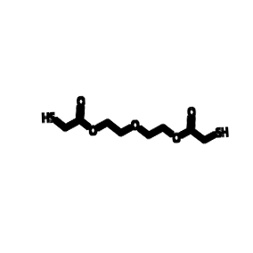 O=C(CS)OCCOCCOC(=O)CS